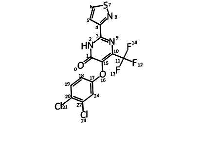 O=c1[nH]c(-c2ccsn2)nc(C(F)(F)F)c1Oc1ccc(Cl)c(Cl)c1